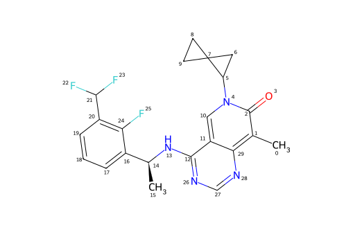 Cc1c(=O)n(C2CC23CC3)cc2c(N[C@@H](C)c3cccc(C(F)F)c3F)ncnc12